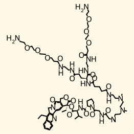 CCc1c2c(nc3ccccc13)-c1cc3c(c(=O)n1C2)COC(=O)[C@@]3(CC)OC(=O)[C@@H](NC(=O)[C@@H]1CCCN1C(=O)CNC(=O)CN(C)CCN(C)CCN(C)CCNC(=O)CCCC(=O)N[C@@H](CCC(=O)NCCNC(=O)CCOCCOCCOCCN)C(=O)NCCNC(=O)CCOCCOCCOCCN)C(C)C